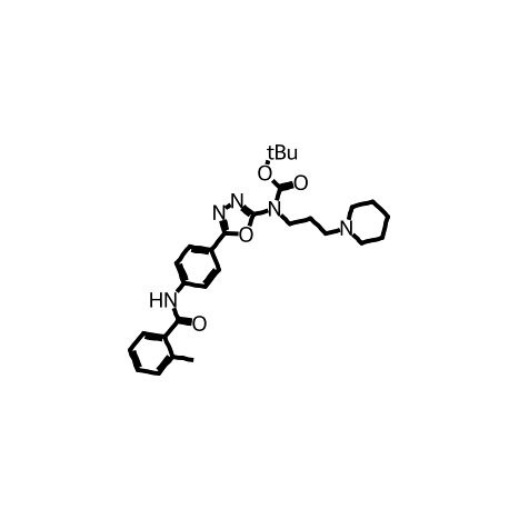 Cc1ccccc1C(=O)Nc1ccc(-c2nnc(N(CCCN3CCCCC3)C(=O)OC(C)(C)C)o2)cc1